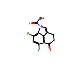 CC(C)(C)C(=O)n1cc2c3c(c(F)cc(F)c31)C(=O)CC2